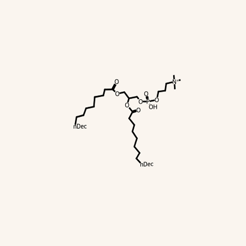 CCCCCCCCCCCCCCCCCC(=O)OCC(COP(=O)(O)OCCC[N+](C)(C)C)OC(=O)CCCCCCCCCCCCCCCCC